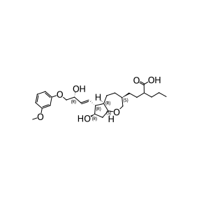 CCCC(CC[C@@H]1CC[C@@H]2[C@@H](C=C[C@@H](O)COc3cccc(OC)c3)[C@H](O)C[C@@H]2OC1)C(=O)O